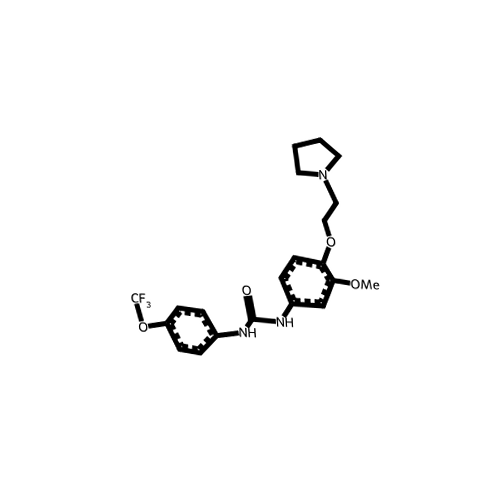 COc1cc(NC(=O)Nc2ccc(OC(F)(F)F)cc2)ccc1OCCN1CCCC1